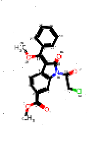 COC(=O)c1ccc2c(c1)N(C(=O)CCl)C(=O)/C2=C(/OC)c1ccccc1